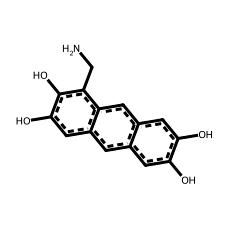 NCc1c(O)c(O)cc2cc3cc(O)c(O)cc3cc12